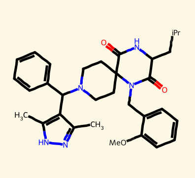 COc1ccccc1CN1C(=O)C(CC(C)C)NC(=O)C12CCN(C(c1ccccc1)c1c(C)n[nH]c1C)CC2